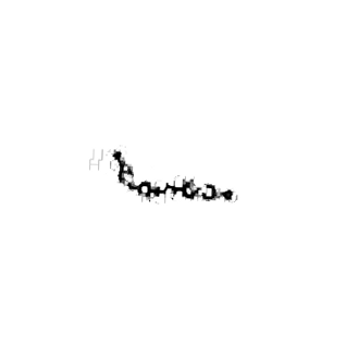 CC(C)(CCC(C)(C)c1ccc(N2CCN(C3COC3)CC2)nn1)c1ccc(CN2CCN(C(C)(C)C(=O)O)CC2)cn1